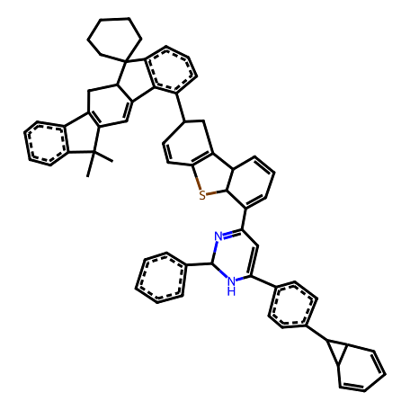 CC1(C)C2=C(CC3C(=C2)c2c(C4C=CC5=C(C4)C4C=CC=C(C6=NC(c7ccccc7)NC(c7ccc(C8C9C=CC=CC98)cc7)=C6)C4S5)cccc2C32CCCCC2)c2ccccc21